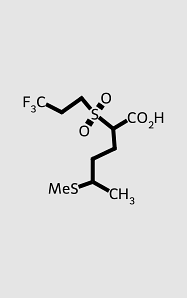 CSC(C)CCC(C(=O)O)S(=O)(=O)CCC(F)(F)F